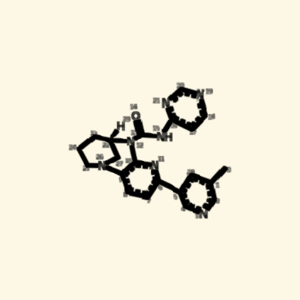 Cc1cncc(-c2ccc3c(n2)N(C(=O)Nc2ccncn2)[C@H]2CCCN3C2)c1